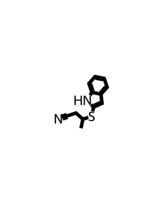 CC(CC#N)Sc1cc2ccccc2[nH]1